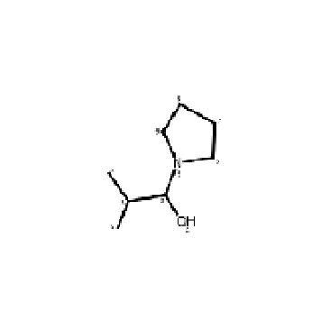 C[C](C)C(O)N1CCCC1